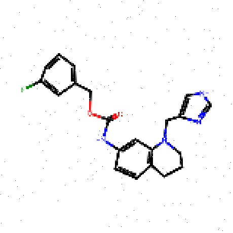 O=C(Nc1ccc2c(c1)N(Cc1c[nH]cn1)CCC2)OCc1cccc(F)c1